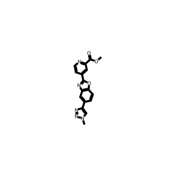 COC(=O)c1cc(-c2nc3cc(-c4cn(C)nn4)ccc3o2)ccn1